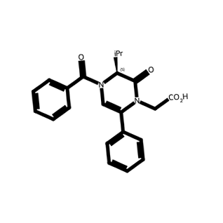 CC(C)[C@H]1C(=O)N(CC(=O)O)C(c2ccccc2)=CN1C(=O)c1ccccc1